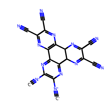 [C-]#[N+]c1nc2c(nc1[N+]#[C-])C1N=C(C#N)C(C#N)=NC1c1nc(C#N)c(C#N)nc1-2